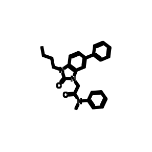 CCCCn1c(=O)n(CC(=O)N(C)c2ccccc2)c2cc(-c3ccccc3)ccc21